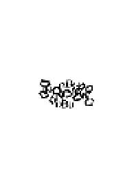 CCCCc1cccc2c3c(N(c4ccccc4)c4ccccc4)ccc4c5cc6c(cc5n(c12)c43)c1ccc(N(c2ccccc2)c2ccccc2)c2c3cccc(CCCC)c3n6c12